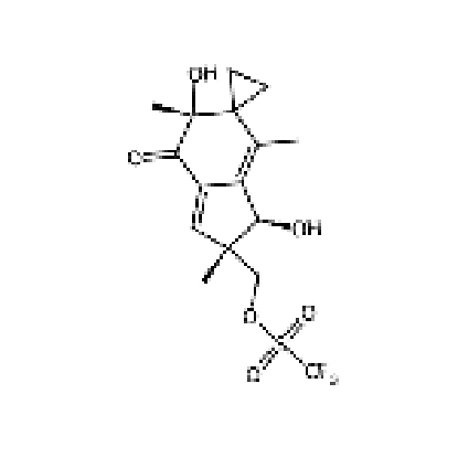 CC1=C2C(=C[C@@](C)(COS(=O)(=O)C(F)(F)F)[C@@H]2O)C(=O)[C@](C)(O)C12CC2